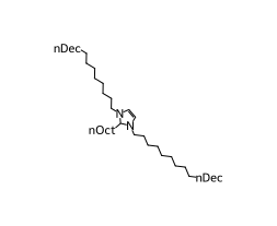 CCCCCCCCCCCCCCCCCCCN1C=CN(CCCCCCCCCCCCCCCCCC)C1CCCCCCCC